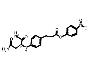 NC(=O)C[C@H](Nc1ccc(COC(=O)Oc2ccc([N+](=O)[O-])cc2)cc1)C(N)=O